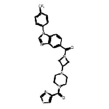 O=C(c1ccc2c(c1)ncn2-c1ccc(C(F)(F)F)cc1)N1CC(N2CCN(C(=O)c3cscn3)CC2)C1